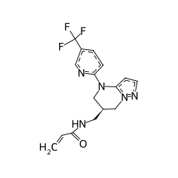 C=CC(=O)NC[C@H]1CN(c2ccc(C(F)(F)F)cn2)c2ccnn2C1